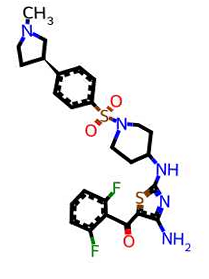 CN1CC[C@H](c2ccc(S(=O)(=O)N3CCC(Nc4nc(N)c(C(=O)c5c(F)cccc5F)s4)CC3)cc2)C1